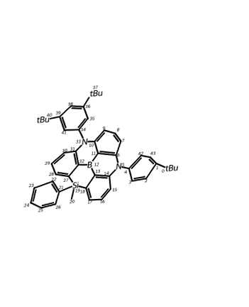 CC(C)(C)c1ccc(N2c3cccc4c3B3c5c2cccc5[Si](C)(c2ccccc2)c2cccc(c23)N4c2cc(C(C)(C)C)cc(C(C)(C)C)c2)cc1